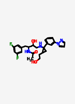 CC(=O)NC(Cc1cc(F)cc(F)c1)C(O)CNC1(c2cccc(-n3cccn3)c2)CC1CCO